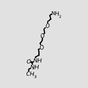 CCNC(=O)NCCCOCCOCCOCCCN